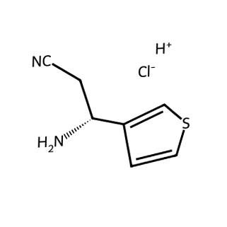 N#CC[C@@H](N)c1ccsc1.[Cl-].[H+]